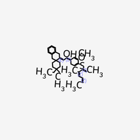 C\C=C/C=C(C)\C(=C\C)SC1=CC/C(=C(O)\C=C2/Cc3ccccc3CC23CCC(CC)(CC)CC3)C=C1OC